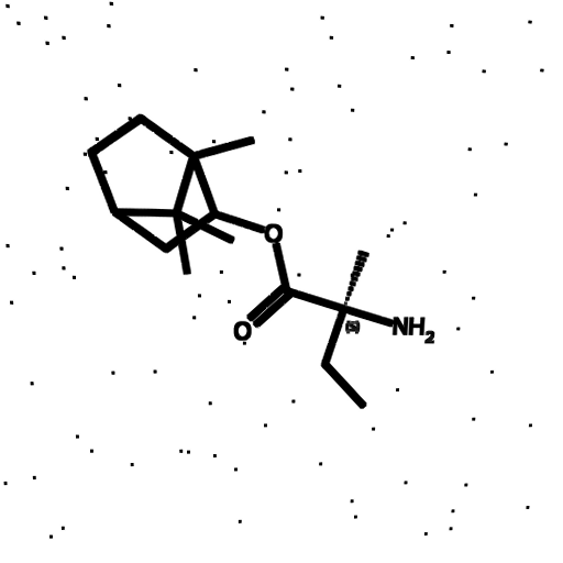 CC[C@](C)(N)C(=O)OC1CC2CCC1(C)C2(C)C